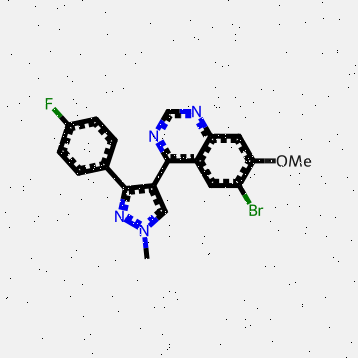 COc1cc2ncnc(-c3cn(C)nc3-c3ccc(F)cc3)c2cc1Br